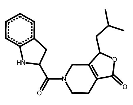 CC(C)CC1OC(=O)C2=C1CN(C(=O)C1Cc3ccccc3N1)CC2